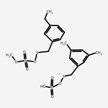 CCc1cccc(CSOS(=O)(=O)OC)c1.Cc1cc(C)cc(CSOS(=O)(=O)O)c1